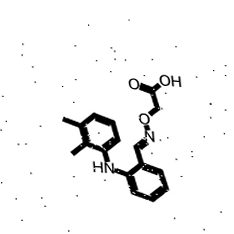 Cc1cccc(Nc2ccccc2C=NOCC(=O)O)c1C